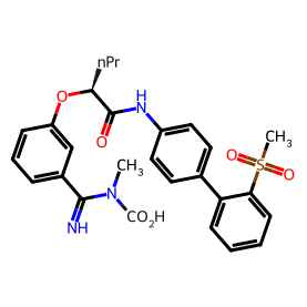 CCC[C@H](Oc1cccc(C(=N)N(C)C(=O)O)c1)C(=O)Nc1ccc(-c2ccccc2S(C)(=O)=O)cc1